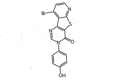 O=c1c2sc3nccc(Br)c3c2ncn1-c1ccc(O)cc1